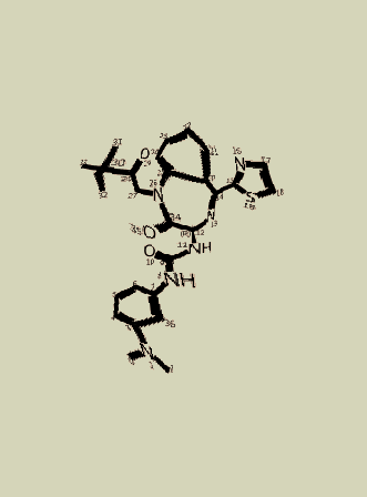 CN(C)c1cccc(NC(=O)N[C@@H]2N=C(c3nccs3)c3ccccc3N(CC(=O)C(C)(C)C)C2=O)c1